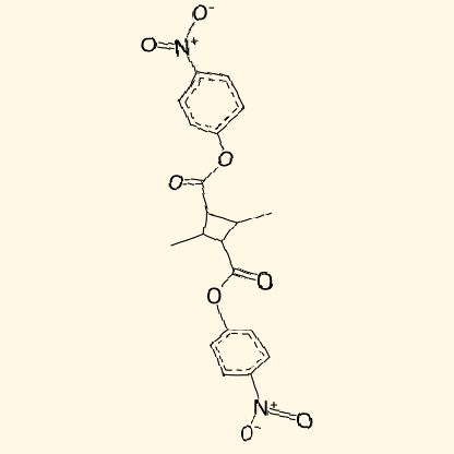 CC1C(C(=O)Oc2ccc([N+](=O)[O-])cc2)C(C)C1C(=O)Oc1ccc([N+](=O)[O-])cc1